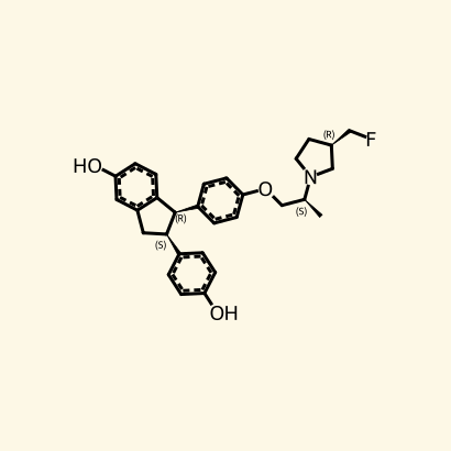 C[C@@H](COc1ccc([C@@H]2c3ccc(O)cc3C[C@@H]2c2ccc(O)cc2)cc1)N1CC[C@@H](CF)C1